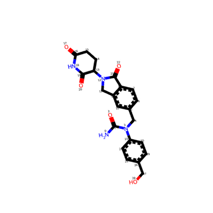 NC(=O)N(Cc1ccc2c(c1)CN(C1CCC(=O)NC1=O)C2=O)c1ccc(CO)cc1